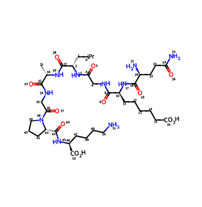 CC(C)C[C@H](NC(=O)CNC(=O)[C@H](CCCCCC(=O)O)NC(=O)[C@@H](N)CCC(N)=O)C(=O)N[C@@H](C)C(=O)NCC(=O)N1CCC[C@H]1C(=O)N[C@@H](CCCCN)C(=O)O